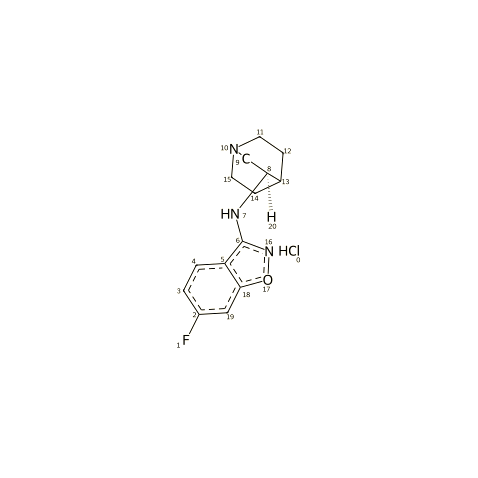 Cl.Fc1ccc2c(N[C@H]3CN4CCC3CC4)noc2c1